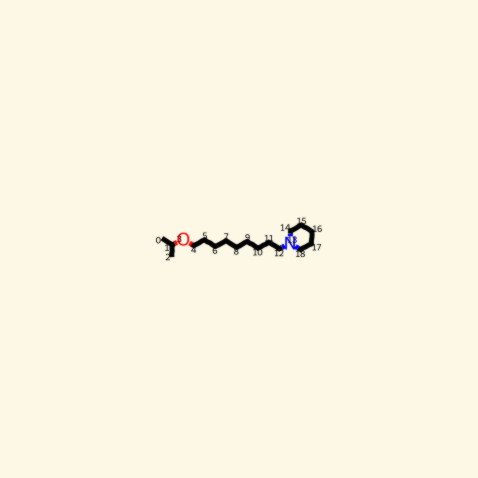 CC(C)OCCCCCCCCCN1CCCCC1